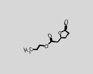 CCCOC(=O)CC1CCC(=O)O1